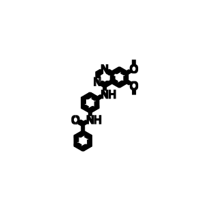 COc1cc2ncnc(Nc3cccc(NC(=O)c4ccccc4)c3)c2cc1OC